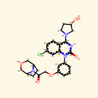 O=C(COc1cccc(-n2c(=O)nc(N3CC[C@@H](O)C3)c3ccc(Cl)cc32)c1)N1C2CCC1COC2